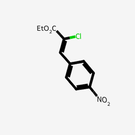 CCOC(=O)C(Cl)=Cc1ccc([N+](=O)[O-])cc1